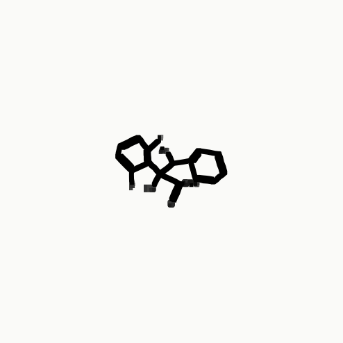 COC(=O)C(O)(c1c(F)cccc1F)C(C(C)=O)c1ccccc1